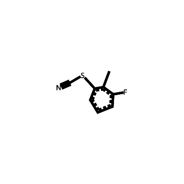 Cc1c(F)cccc1SC#N